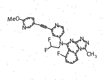 COc1ccc(C#Cc2cc(N(CC(F)F)c3nc4nnc(C)n4c4cccc(F)c34)ccn2)cn1